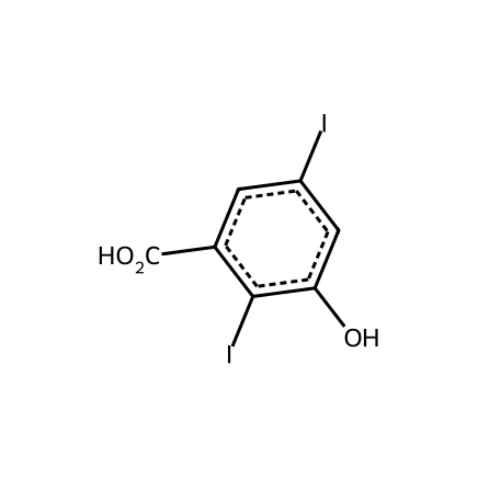 O=C(O)c1cc(I)cc(O)c1I